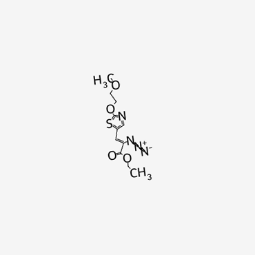 CCOC(=O)/C(=C/c1cnc(OCCOC)s1)N=[N+]=[N-]